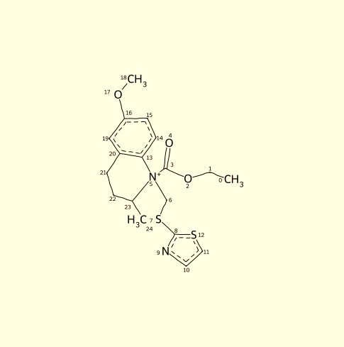 CCOC(=O)[N+]1(CSc2nccs2)c2ccc(OC)cc2CCC1C